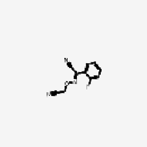 N#CCON=C(C#N)c1ccccc1F